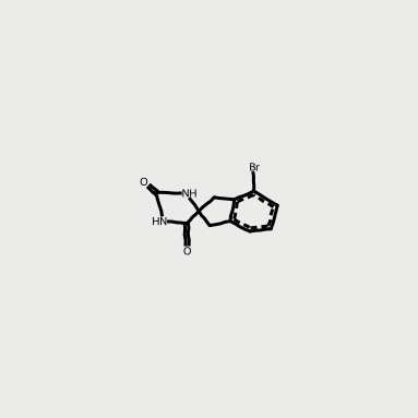 O=C1NC(=O)C2(Cc3cccc(Br)c3C2)N1